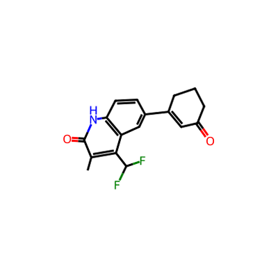 Cc1c(C(F)F)c2cc(C3=CC(=O)CCC3)ccc2[nH]c1=O